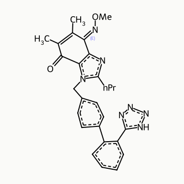 CCCc1nc2c(n1Cc1ccc(-c3ccccc3-c3nnn[nH]3)cc1)C(=O)C(C)=C(C)/C2=N\OC